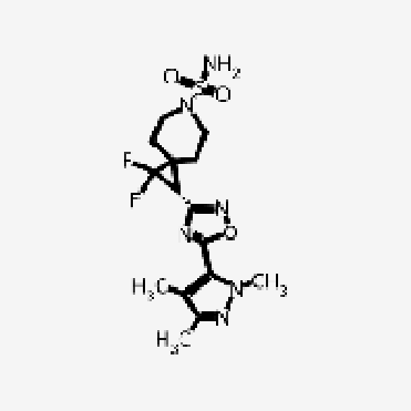 Cc1nn(C)c(-c2nc([C@@H]3C(F)(F)C34CCN(S(N)(=O)=O)CC4)no2)c1C